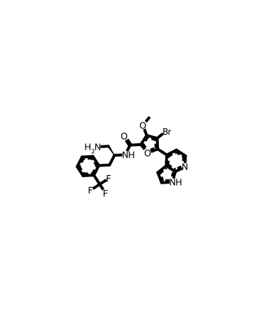 COc1c(C(=O)N[C@H](CN)Cc2ccccc2C(F)(F)F)oc(-c2ccnc3[nH]ccc23)c1Br